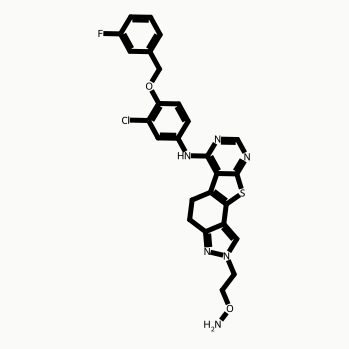 NOCCn1cc2c(n1)CCc1c-2sc2ncnc(Nc3ccc(OCc4cccc(F)c4)c(Cl)c3)c12